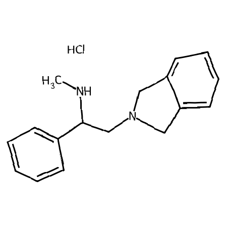 CNC(CN1Cc2ccccc2C1)c1ccccc1.Cl